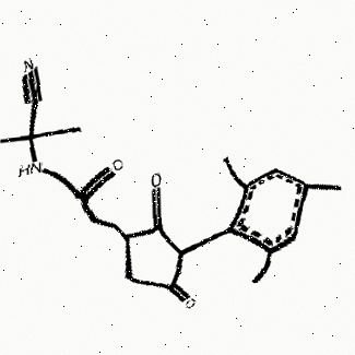 Cc1cc(C)c(C2C(=O)CC(CC(=O)NC(C)(C)C#N)C2=O)c(C)c1